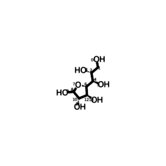 OC[C@@H](O)[C@@H](O)[C@H]1OC(O)[C@@H](O)[C@@H]1O